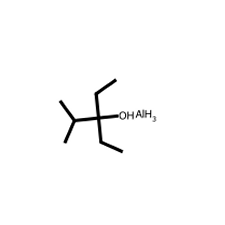 CCC(O)(CC)C(C)C.[AlH3]